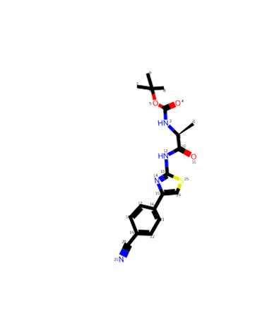 C[C@H](NC(=O)OC(C)(C)C)C(=O)Nc1nc(-c2ccc(C#N)cc2)cs1